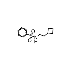 O=S(=O)(NCCC1CCC1)c1ccccc1